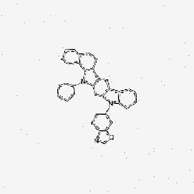 c1ccc(-n2c3cc4c(cc3c3ccc5ccccc5c32)c2ccccc2n4-c2ccc3ncoc3c2)cc1